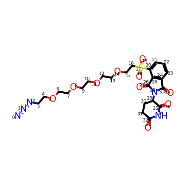 [N-]=[N+]=NCCOCCOCCOCCOCCS(=O)(=O)c1cccc2c1C(=O)N(C1CCC(=O)NC1=O)C2=O